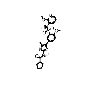 COc1ccc(-c2sc(NC(=O)C3CCCC3)nc2C)cc1S(=O)(=O)Nc1cccnc1OC